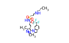 CCCCNC=CCS(=O)(=O)NC(=O)/C=C/c1c(C)nn(C)c1-n1ccc2ccc(C(F)(F)F)cc21